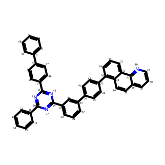 c1ccc(-c2ccc(-c3nc(-c4ccccc4)nc(-c4cccc(-c5ccc(-c6cccc7c6ccc6cccnc67)cc5)c4)n3)cc2)cc1